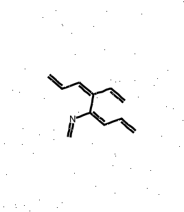 C=C/C=C(C=C)\C(=C/C=C)N=C